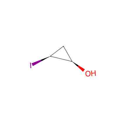 O[C@@H]1C[C@@H]1I